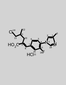 Cc1cn(-c2ccc(C=C(CC(C)CCl)C(=O)O)cc2F)cn1.Cl